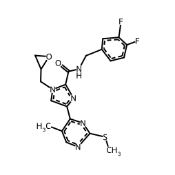 CSc1ncc(C)c(-c2cn(CC3CO3)c(C(=O)NCc3ccc(F)c(F)c3)n2)n1